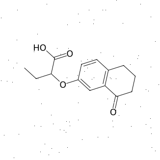 CCC(Oc1ccc2c(c1)C(=O)CCC2)C(=O)O